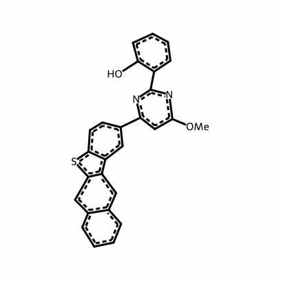 COc1cc(-c2ccc3sc4cc5ccccc5cc4c3c2)nc(-c2ccccc2O)n1